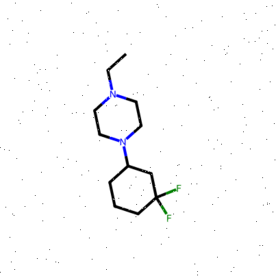 CCN1CCN(C2CCCC(F)(F)C2)CC1